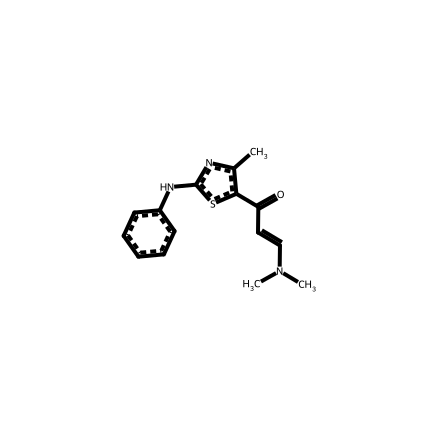 Cc1nc(Nc2ccccc2)sc1C(=O)C=CN(C)C